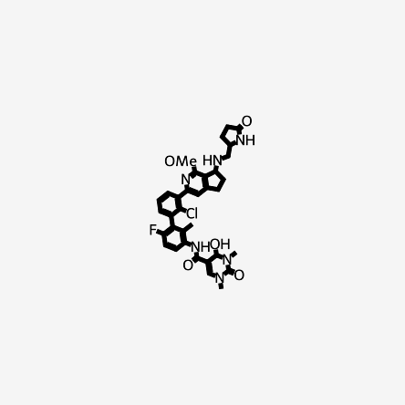 COc1nc(-c2cccc(-c3c(F)ccc(NC(=O)C4=CN(C)C(=O)N(C)C4O)c3C)c2Cl)cc2c1C(NCC1CCC(=O)N1)CC2